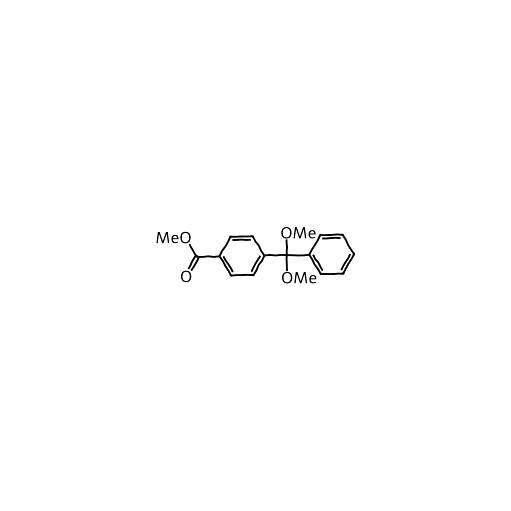 COC(=O)c1ccc(C(OC)(OC)c2ccccc2)cc1